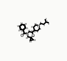 CC(C)CCN1CCC(C2CN(C(=O)c3ccccc3)CC3(CC3)O2)CC1